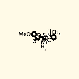 COc1ccc2oc(-c3sc(Nc4c(C)cccc4C)nc3N)cc(=O)c2c1